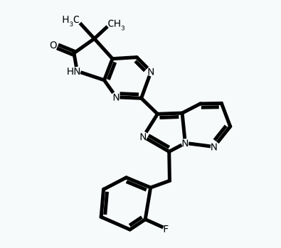 CC1(C)C(=O)Nc2nc(-c3nc(Cc4ccccc4F)n4ncccc34)ncc21